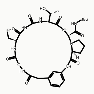 CC(C)C[C@@H]1NC(=O)CNC(=O)Cc2cccc(c2)NC(=O)[C@@H]2CCCN2[C@H](C(=O)NC(C)(C)C)NC(=O)[C@H]([C@@H](C)O)NC(=O)NC1=O